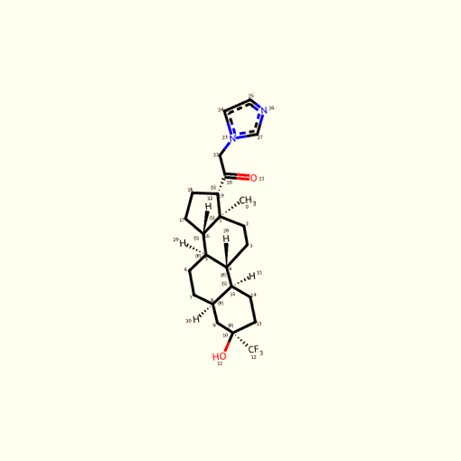 C[C@]12CC[C@H]3[C@@H](CC[C@@H]4C[C@@](O)(C(F)(F)F)CC[C@@H]43)[C@@H]1CC[C@@H]2C(=O)Cn1ccnc1